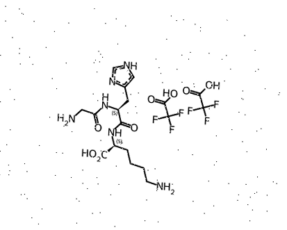 NCCCC[C@H](NC(=O)[C@H](Cc1c[nH]cn1)NC(=O)CN)C(=O)O.O=C(O)C(F)(F)F.O=C(O)C(F)(F)F